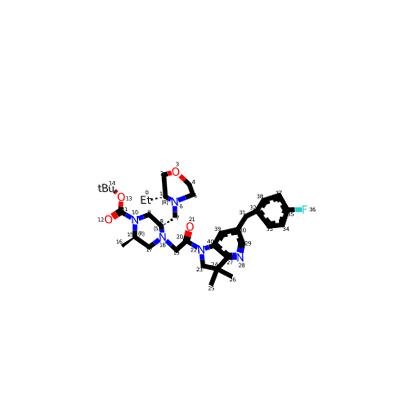 CC[C@@H]1COCCN1C[C@H]1CN(C(=O)OC(C)(C)C)[C@H](C)CN1CC(=O)N1CC(C)(C)c2ncc(Cc3ccc(F)cc3)cc21